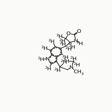 [2H]c1c(C([2H])([2H])[C@]2([2H])N([2H])C(=O)OC2([2H])[2H])c([2H])c2c(C([2H])([2H])CN(C)C([2H])([2H])[2H])c([2H])n([2H])c2c1[2H]